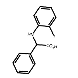 O=C(O)C(Nc1ccccc1I)c1ccccc1